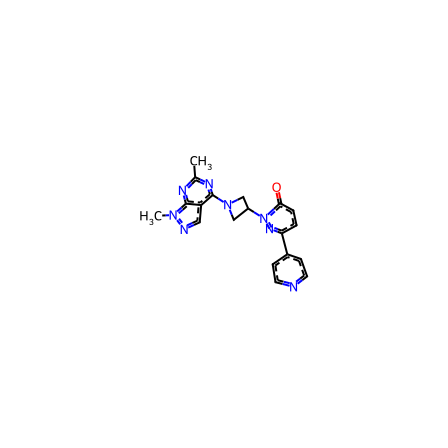 Cc1nc(N2CC(n3nc(-c4ccncc4)ccc3=O)C2)c2cnn(C)c2n1